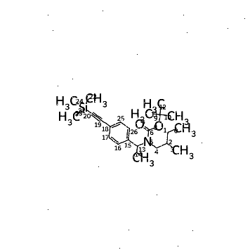 CCC(C)CN(C(=O)OC(C)(C)C)C(C)c1ccc(C#C[Si](C)(C)C)cc1